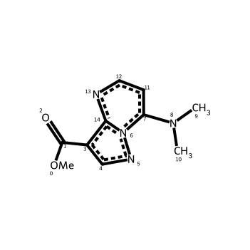 COC(=O)c1cnn2c(N(C)C)ccnc12